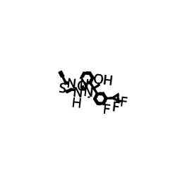 C#Cc1nc(NC(=O)N(C)C(CO)(c2ccc(F)c(C3CC3(F)F)c2)c2ccccn2)cs1